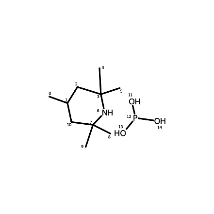 CC1CC(C)(C)NC(C)(C)C1.OP(O)O